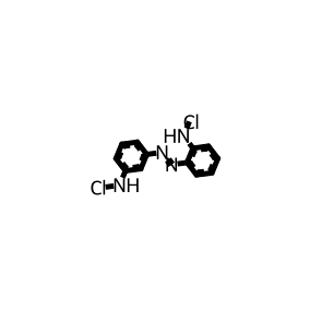 ClNc1cccc(/N=N/c2ccccc2NCl)c1